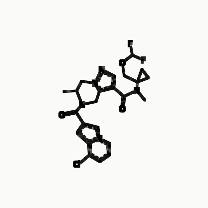 CC1Cn2ncc(C(=O)N(C)C3(COC(F)F)CC3)c2CN1C(=O)c1cc2c(Cl)cccn2c1